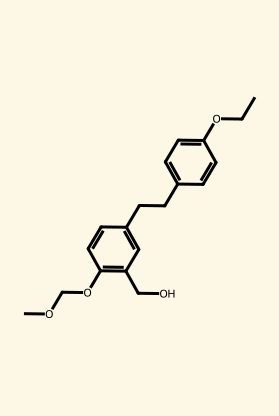 CCOc1ccc(CCc2ccc(OCOC)c(CO)c2)cc1